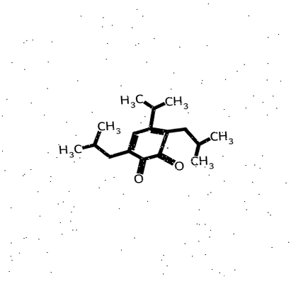 CC(C)CC1=CC(C(C)C)=C(CC(C)C)C(=O)C1=O